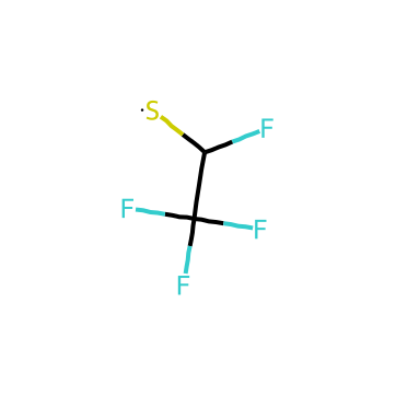 FC([S])C(F)(F)F